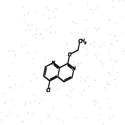 CCOc1nccc2c(Cl)ccnc12